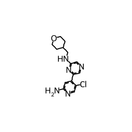 Nc1cc(-c2cncc(NCC3CCOCC3)n2)c(Cl)cn1